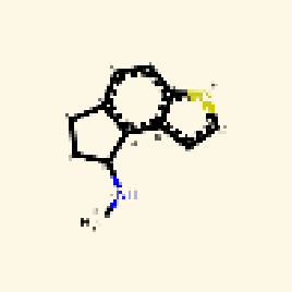 CNC1CCc2ccc3sccc3c21